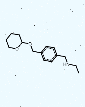 CCNCc1ccc(COC2CCCCO2)cc1